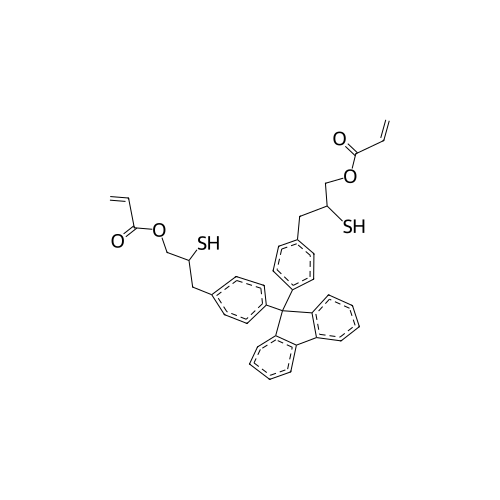 C=CC(=O)OCC(S)Cc1ccc(C2(c3ccc(CC(S)COC(=O)C=C)cc3)c3ccccc3-c3ccccc32)cc1